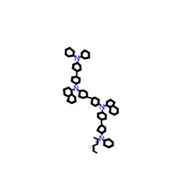 C/C=C\C=C(/C)N(c1ccccc1)c1ccc(-c2ccc(N(c3ccc(-c4ccc(N(c5ccc(-c6ccc(N(c7ccccc7)c7ccccc7)cc6)cc5)c5cccc6ccccc56)cc4)cc3)c3cccc4ccccc34)cc2)cc1